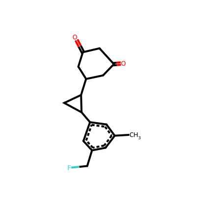 Cc1cc(CF)cc(C2CC2C2CC(=O)CC(=O)C2)c1